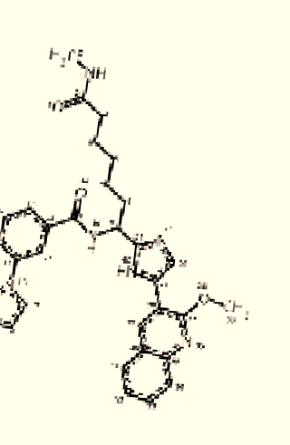 CNC(=O)CCCCCC(NC(=O)c1cccc(-n2cccn2)c1)c1ncc(-c2cc3ccccc3nc2OC)[nH]1